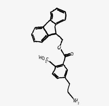 NCCc1ccc(C(=O)O)c(C(=O)OCC2c3ccccc3-c3ccccc32)c1